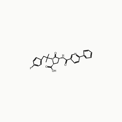 CC(C)(Cc1ccc(F)cc1)N1C(=O)[C@@H](NC(=O)c2ccc(-c3ccccc3)nc2)C[C@H]1C(=O)O